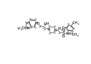 Cc1cc(C)c(NS(=O)(=O)CCN2CCN(C[C@@H](O)COc3ccc4sc(C)nc4c3)CC2)c(C)c1